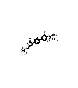 CC(C)(C)OC(=O)NCC1CN(c2ccc(C3CCC(O[Si](C)(C)C(C)(C)C)C(F)C3)c(F)c2)C(=O)O1